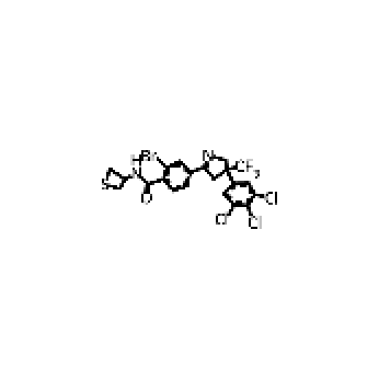 O=C(NC1CSC1)c1ccc(C2=NCC(c3cc(Cl)c(Cl)c(Cl)c3)(C(F)(F)F)C2)cc1Br